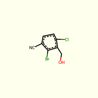 N#Cc1ccc(Cl)c(CO)c1Br